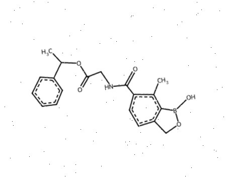 Cc1c(C(=O)NCC(=O)OC(C)c2ccccc2)ccc2c1B(O)OC2